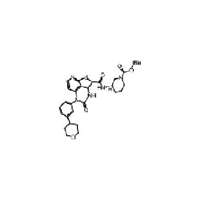 CC(C)(C)OC(=O)N1CCC[C@@H](NC(=O)C2Sc3nccc4c3C2NC(=O)N4c2cccc(C3CCOCC3)c2)C1